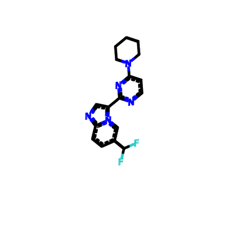 FC(F)c1ccc2ncc(-c3nccc(N4CCCCC4)n3)n2c1